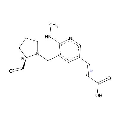 CNc1ncc(/C=C/C(=O)O)cc1CN1CCC[C@@H]1C=O